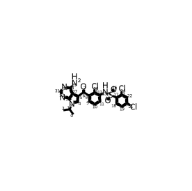 CC(C)n1cc(C(=O)c2cccc(NS(=O)(=O)c3ccc(Cl)cc3Cl)c2Cl)c2c(N)ncnc21